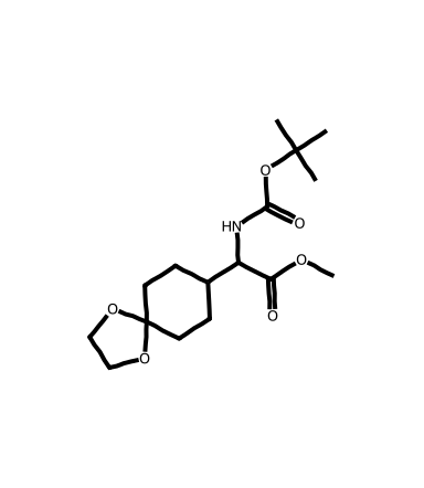 COC(=O)C(NC(=O)OC(C)(C)C)C1CCC2(CC1)OCCO2